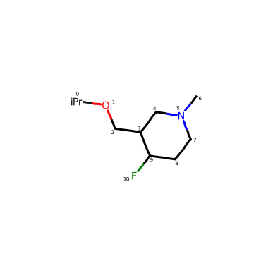 CC(C)OCC1CN(C)CCC1F